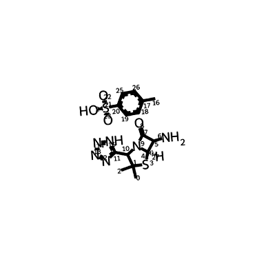 CC1(C)S[C@@H]2C(N)C(=O)N2C1c1nnn[nH]1.Cc1ccc(S(=O)(=O)O)cc1